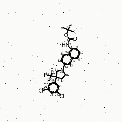 CC(C)(C)OC(=O)Nc1cccc2cc(N3CCC(c4cc(Cl)cc(Cl)c4)(C(F)(F)F)C3)ccc12